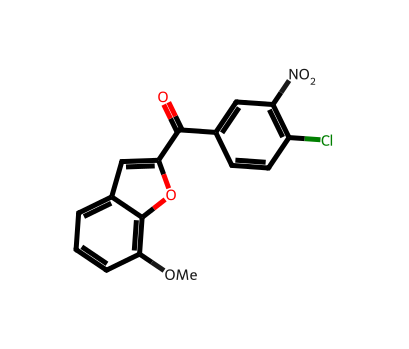 COc1cccc2cc(C(=O)c3ccc(Cl)c([N+](=O)[O-])c3)oc12